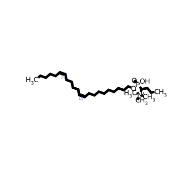 CCCCC/C=C\CCCC/C=C\CCCCCCCCCOP(=O)(O)C(CCC)[N+](C)(C)C